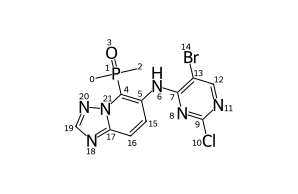 CP(C)(=O)c1c(Nc2nc(Cl)ncc2Br)ccc2ncnn12